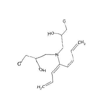 C=C/C=C\C(=C/C=C)N(CC(O)CCl)CC(O)CCl